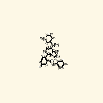 Cc1ccc(-c2nnc(N[C@@H]3CCCN(C)C3)c3nccn23)c(OCc2ccccc2)c1